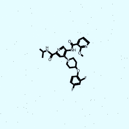 COc1ncccc1C(=O)Nc1cnc(C(=O)NC(C)C)cc1N1CCC(Oc2ccc(F)cc2F)CC1